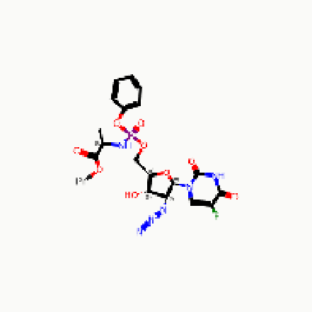 CC(C)OC(=O)[C@@H](C)NP(=O)(OC[C@H]1O[C@@H](n2cc(F)c(=O)[nH]c2=O)[C@H](N=[N+]=[N-])[C@@H]1O)Oc1ccccc1